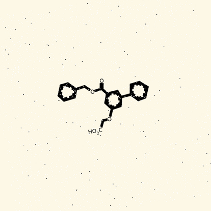 O=C(O)COc1cc(C(=O)OCc2ccccc2)cc(-c2ccccc2)c1